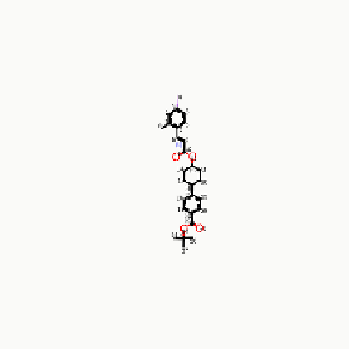 Cc1cc(I)ccc1/C=C/C(=O)OC1CCC(c2ccc(C(=O)OC(C)(C)C)cc2)CC1